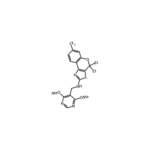 CCC1(CC)Oc2cc(C(F)(F)F)ccc2-c2nc(NCc3c(OC)ncnc3OC)sc21